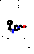 COCCN1CCC(N[C@@H]2CC2c2ccccc2)CC1